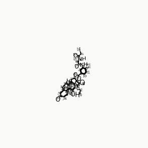 CCSC(=O)[C@@]1(OC(=O)c2ccc(Cl)c(NC(=O)[C@H](C)NC(=O)CC)c2)CC[C@H]2[C@@H]3CCC4=CC(=O)C=C[C@]4(C)[C@@]3(F)[C@@H](O)C[C@@]21C